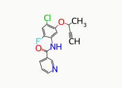 C#CC(C)Oc1cc(NC(=O)c2cccnc2)c(F)cc1Cl